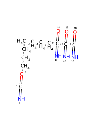 C.C.C.C.C.C.C.N=C=O.N=C=O.N=C=O.N=C=O